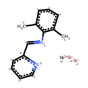 Cc1cccc(C)c1N=Cc1ccccn1.[Br-].[Br-].[Ni+2]